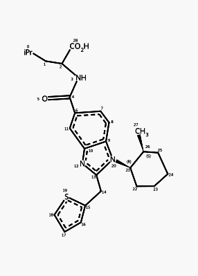 CC(C)CC(NC(=O)c1ccc2c(c1)nc(Cc1cccs1)n2[C@@H]1CCCC[C@@H]1C)C(=O)O